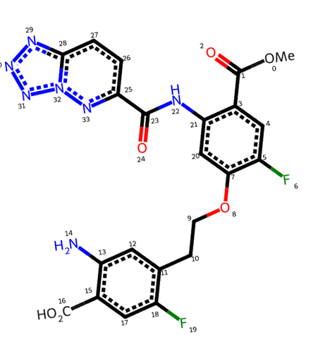 COC(=O)c1cc(F)c(OCCc2cc(N)c(C(=O)O)cc2F)cc1NC(=O)c1ccc2nnnn2n1